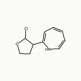 ClC1OCCC1C1=CC=CC=CN1